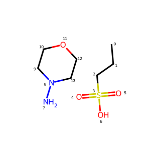 CCCS(=O)(=O)O.NN1CCOCC1